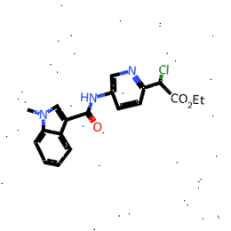 CCOC(=O)C(Cl)c1ccc(NC(=O)c2cn(C)c3ccccc23)cn1